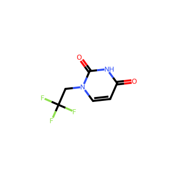 O=c1ccn(CC(F)(F)F)c(=O)[nH]1